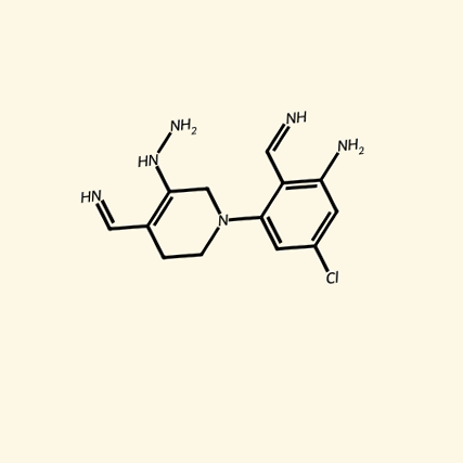 N=CC1=C(NN)CN(c2cc(Cl)cc(N)c2C=N)CC1